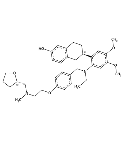 CCN(Cc1ccc(OCCN(C)C[C@@H]2CCCO2)cc1)c1cc(OC)c(OC)cc1[C@@H]1CCc2cc(O)ccc2C1